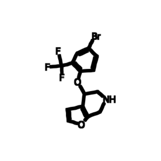 FC(F)(F)c1cc(Br)ccc1OC1CNCc2occc21